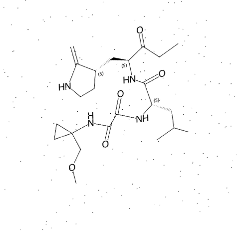 C=C1NCC[C@H]1C[C@H](NC(=O)[C@H](CC(C)C)NC(=O)C(=O)NC1(COC)CC1)C(=O)CC